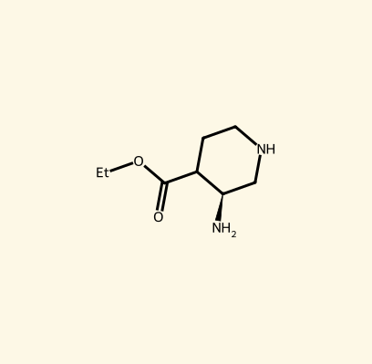 CCOC(=O)C1CCNC[C@H]1N